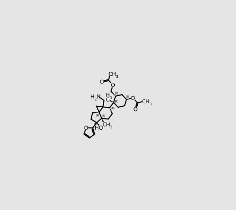 CC(=O)OC[C@H]1C[C@@H](OC(C)=O)CC[C@]1(C)[C@H]1CC[C@@]2(C)[C@]3(CC[C@@]2(O)c2ccco2)CC13CN